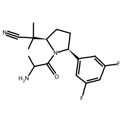 CC(N)C(=O)N1[C@H](c2cc(F)cc(F)c2)CC[C@@H]1C(C)(C)C#N